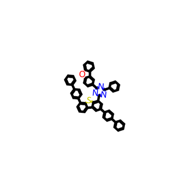 c1ccc(-c2ccc(-c3cc(-c4nc(-c5ccccc5)nc(-c5ccc6oc7ccccc7c6c5)n4)c4sc5c(-c6ccc(-c7ccccc7)cc6)cccc5c4c3)cc2)cc1